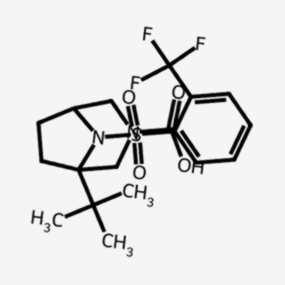 CC(C)(C)C12CCC(CN(C(=O)O)C1)N2S(=O)(=O)c1ccccc1C(F)(F)F